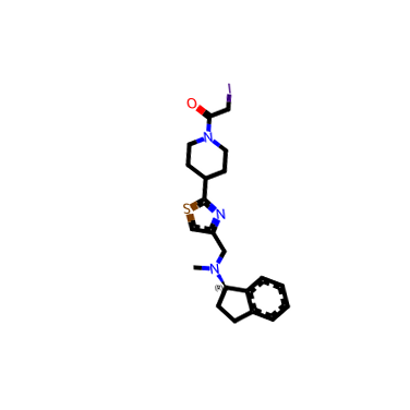 CN(Cc1csc(C2CCN(C(=O)CI)CC2)n1)[C@@H]1CCc2ccccc21